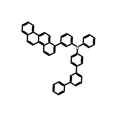 c1ccc(-c2cccc(-c3ccc(N(c4ccccc4)c4cccc(-c5cccc6c5ccc5c7ccccc7ccc65)c4)cc3)c2)cc1